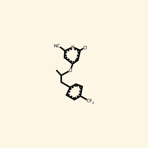 CC(Cc1ccc(C(F)(F)F)cc1)Oc1cc(Cl)nc(C#N)c1